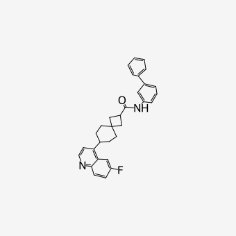 O=C(Nc1cccc(-c2ccccc2)c1)C1CC2(CCC(c3ccnc4ccc(F)cc34)CC2)C1